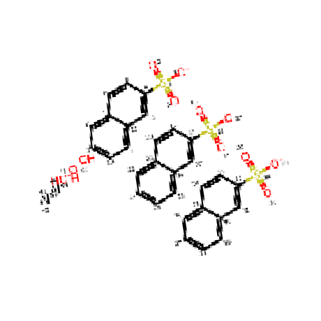 O=S(=O)([O-])c1ccc2ccccc2c1.O=S(=O)([O-])c1ccc2ccccc2c1.O=S(=O)([O-])c1ccc2ccccc2c1.[Al+3].[Al+3].[OH-].[OH-].[OH-]